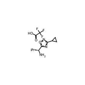 CC(C)[C@H](N)c1nc(C2CC2)no1.O=C(O)C(F)(F)F